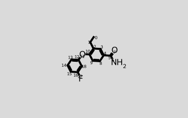 CCc1cc(C(N)=O)ccc1Oc1cccc(F)c1